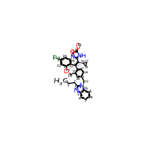 CCCc1nc2ccccc2n1Cc1ccc2c(c1)COc1cc(F)ccc1/C2=C(\c1noc(=O)[nH]1)C1CC1